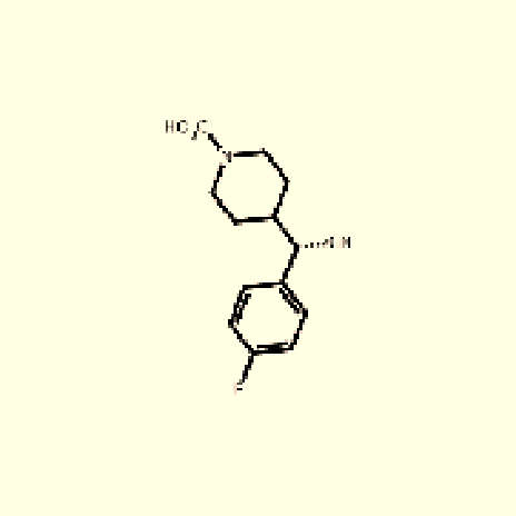 N#C[C@H](c1ccc(F)cc1)C1CCN(C(=O)O)CC1